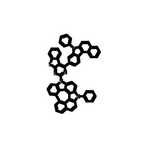 c1ccc(-n2c3cc(-c4nc(-n5c6cccc7c6c6c8c9c%10c-7cccc%10ccc9n(-c7ccccc7)c8ccc65)nc5sc6ccccc6c45)ccc3c3c4ccccc4ccc32)cc1